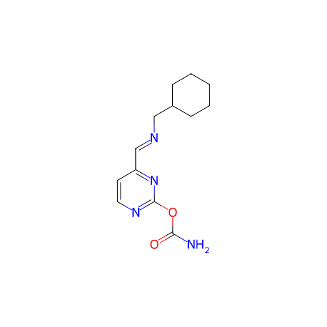 NC(=O)Oc1nccc(C=NCC2CCCCC2)n1